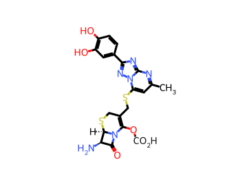 Cc1cc(SCC2=C(OC(=O)O)N3C(=O)[C@@H](N)[C@H]3SC2)n2nc(-c3ccc(O)c(O)c3)nc2n1